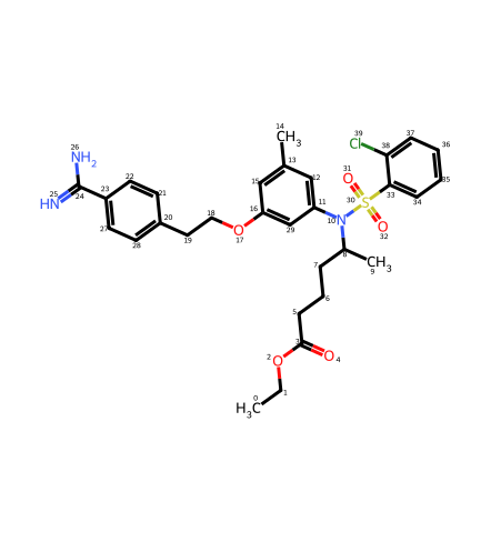 CCOC(=O)CCCC(C)N(c1cc(C)cc(OCCc2ccc(C(=N)N)cc2)c1)S(=O)(=O)c1ccccc1Cl